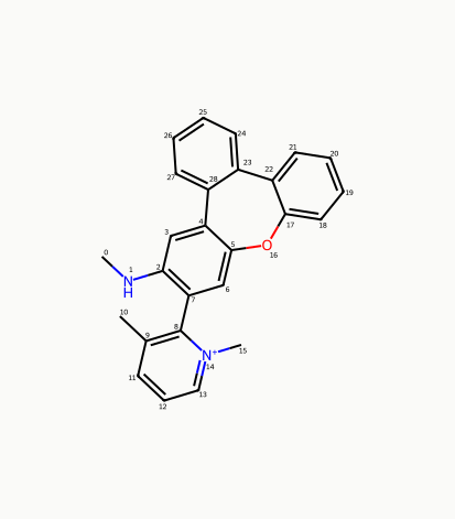 CNc1cc2c(cc1-c1c(C)ccc[n+]1C)Oc1ccccc1-c1ccccc1-2